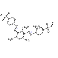 C=CS(=O)(=O)c1ccc(/N=N/c2c(N)cc(N)c(/N=N/c3ccc(S(=O)(=O)C=C)cc3S(=O)(=O)O)c2C(=O)O)cc1